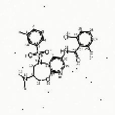 Cc1cccc(S(=O)(=O)N2CC(N(C)C)COc3ncc(NC(=O)c4c(F)cccc4Cl)cc32)c1